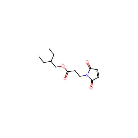 CCC(CC)COC(=O)CCN1C(=O)C=CC1=O